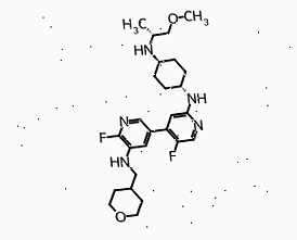 COC[C@@H](C)N[C@H]1CC[C@H](Nc2cc(-c3cnc(F)c(NCC4CCOCC4)c3)c(F)cn2)CC1